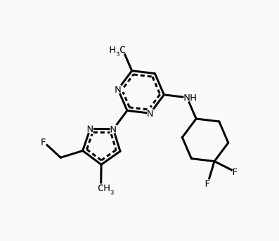 Cc1cc(NC2CCC(F)(F)CC2)nc(-n2cc(C)c(CF)n2)n1